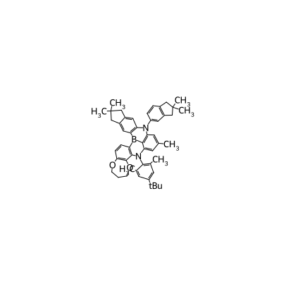 Cc1cc2c3c(c1)N(c1c(C)cc(C(C)(C)C)cc1C)c1c(ccc4c1OCCCO4)B3c1cc3c(cc1N2c1ccc2c(c1)CC(C)(C)C2)CC(C)(C)C3